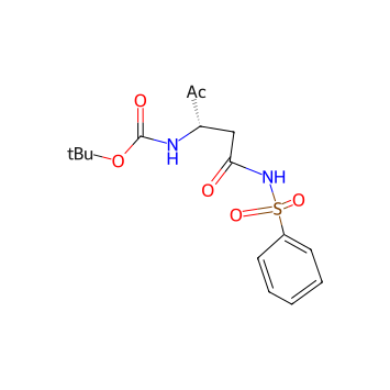 CC(=O)[C@H](CC(=O)NS(=O)(=O)c1ccccc1)NC(=O)OC(C)(C)C